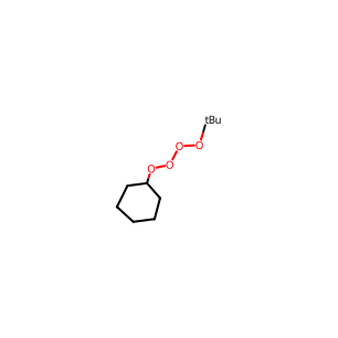 CC(C)(C)OOOOC1CCCCC1